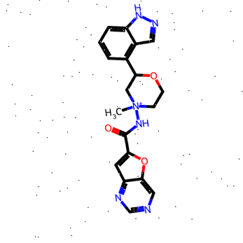 C[N+]1(NC(=O)c2cc3ncncc3o2)CCOC(c2cccc3[nH]ncc23)C1